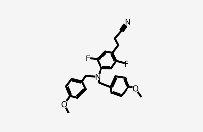 COc1ccc(CN(Cc2ccc(OC)cc2)c2cc(F)c(CCC#N)cc2F)cc1